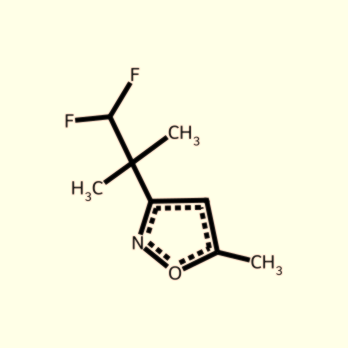 Cc1cc(C(C)(C)C(F)F)no1